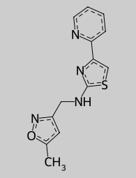 Cc1cc(CNc2nc(-c3ccccn3)cs2)no1